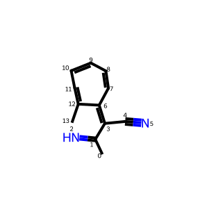 CC(=N)/C(C#N)=C1/C=CC=CC=C1C